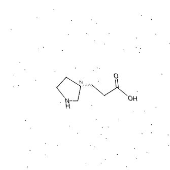 O=C(O)CC[C@H]1CCNC1